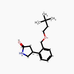 CC(C)(C)CCOCc1ccccc1C1CNC(=O)C1